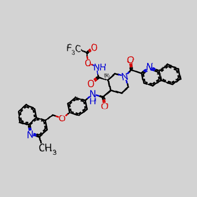 Cc1cc(COc2ccc(NC(=O)C3CCN(C(=O)c4ccc5ccccc5n4)C[C@@H]3C(=O)NOC(=O)C(F)(F)F)cc2)c2ccccc2n1